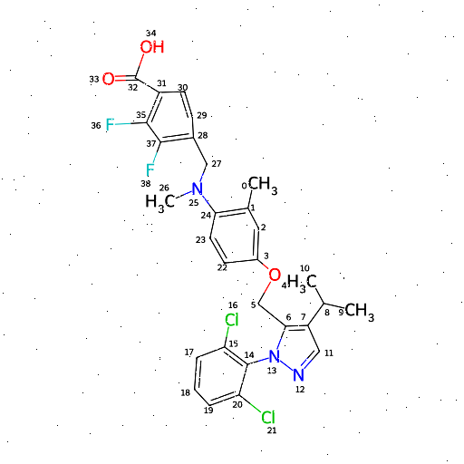 Cc1cc(OCc2c(C(C)C)cnn2-c2c(Cl)cccc2Cl)ccc1N(C)Cc1ccc(C(=O)O)c(F)c1F